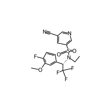 CCN([C@@H](c1ccc(F)c(OC)c1)C(F)(F)F)S(=O)(=O)c1cncc(C#N)c1